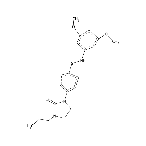 CCCN1CCN(c2ccc(SNc3cc(OC)cc(OC)c3)cc2)C1=O